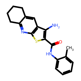 Cc1ccccc1NC(=O)c1sc2nc3c(cc2c1N)CCCC3